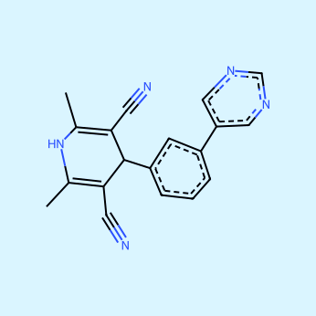 CC1=C(C#N)C(c2cccc(-c3cncnc3)c2)C(C#N)=C(C)N1